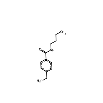 CCCCNC(=O)c1ccc(CC)cc1